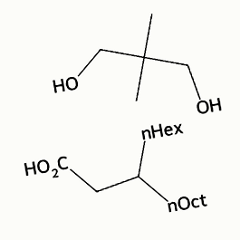 CC(C)(CO)CO.CCCCCCCCC(CCCCCC)CC(=O)O